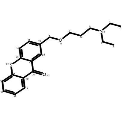 CCN(CC)CCCOCc1ccc2sc3ccccc3c(=O)c2c1